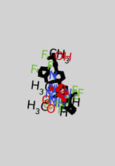 Cn1nc(NS(C)(=O)=O)c2c(Cl)ccc(-c3ccc(C#CC(C)(O)CF)nc3[C@H](Cc3cc(F)cc(F)c3)NC(=O)Cn3nc(C(F)(F)F)c4c3C(F)(F)[C@@H]3C#C[C@H]43)c21